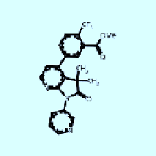 COC(=O)c1cc(-c2ccnc3c2C(C)(C)C(=O)N3c2cccnc2)ccc1C(F)(F)F